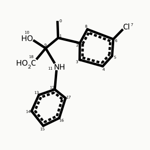 CC(c1cccc(Cl)c1)C(O)(Nc1ccccc1)C(=O)O